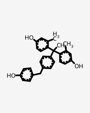 Cc1cc(O)ccc1C(C)(c1ccc(Cc2ccc(O)cc2)cc1)c1ccc(O)cc1C